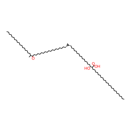 CCCCCCCCCCCCCCCCCCCCCCCCC(C(=O)O)[C@H](O)CCCCCCCCCCCCCCC[C@@H]1C[C@@H]1CCCCCCCCCCCCCCCCCCC(=O)C(C)CCCCCCCCCCCCCCCCCC